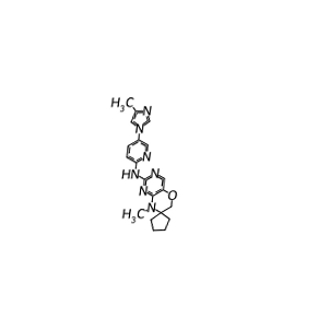 Cc1cn(-c2ccc(Nc3ncc4c(n3)N(C)C3(CCCC3)CO4)nc2)cn1